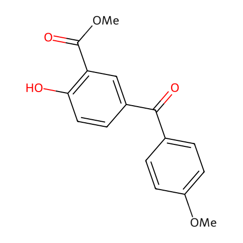 COC(=O)c1cc(C(=O)c2ccc(OC)cc2)ccc1O